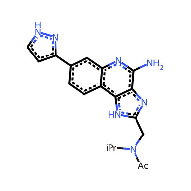 CC(=O)N(Cc1nc2c(N)nc3cc(-c4cc[nH]n4)ccc3c2[nH]1)C(C)C